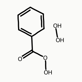 O=C(OO)c1ccccc1.OO